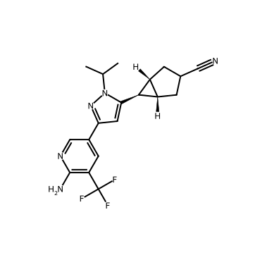 CC(C)n1nc(-c2cnc(N)c(C(F)(F)F)c2)cc1[C@H]1[C@@H]2CC(C#N)C[C@@H]21